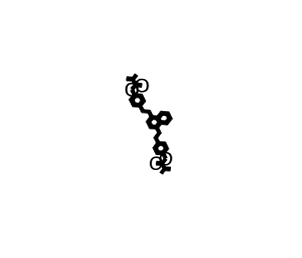 C=C(C)C(=O)Oc1ccc(CCc2ccc(CCc3ccc(OC(=O)C(=C)C)cc3)c3ccccc23)cc1